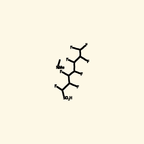 CNC.O=S(=O)(O)C(F)C(F)C(F)C(F)C(F)C(F)C(F)F